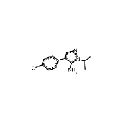 CC(C)n1ncc(-c2ccc(Cl)cc2)c1N